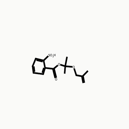 C=C(C)COC(C)(C)OC(=O)c1ccccc1S(=O)(=O)O